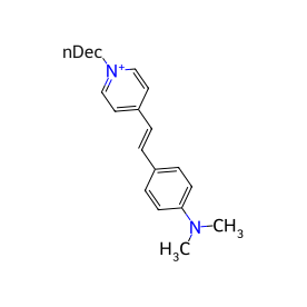 CCCCCCCCCC[n+]1ccc(C=Cc2ccc(N(C)C)cc2)cc1